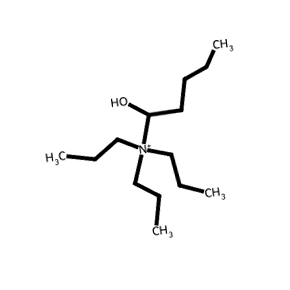 CCCCC(O)[N+](CCC)(CCC)CCC